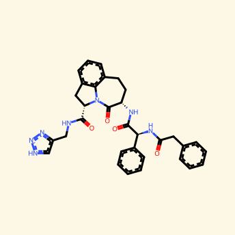 O=C(Cc1ccccc1)N[C@H](C(=O)N[C@H]1CCc2cccc3c2N(C1=O)[C@H](C(=O)NCc1c[nH]nn1)C3)c1ccccc1